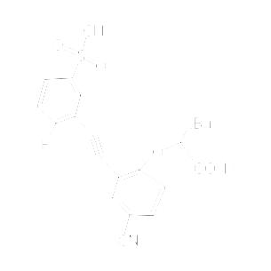 CC(C)(C)C(Oc1ccc(C#N)cc1C#Cc1cc(S(C)(=O)=O)ccc1F)C(=O)O